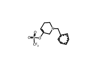 O=S(=O)(OC1=CCCN(Cc2ccccc2)C1)C(F)(F)F